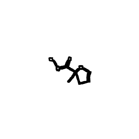 CC1(C(=O)OCl)CC=CO1